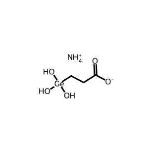 O=C([O-])C[CH2][Ge]([OH])([OH])[OH].[NH4+]